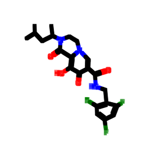 CC(C)CC(C)N1CCn2cc(C(=O)NCc3c(F)cc(F)cc3F)c(=O)c(O)c2C1=O